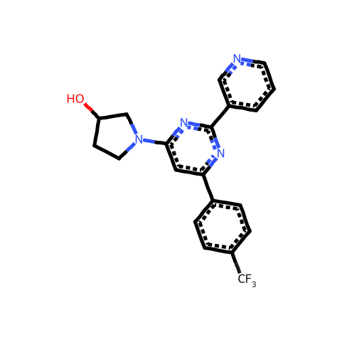 OC1CCN(c2cc(-c3ccc(C(F)(F)F)cc3)nc(-c3cccnc3)n2)C1